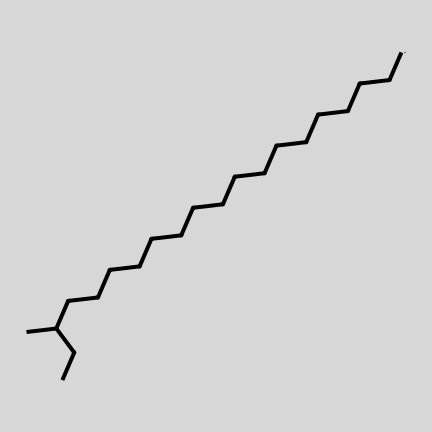 [CH2]CCCCCCCCCCCCCCCCC(C)CC